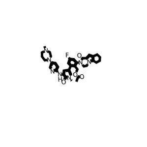 CC(=O)OCc1c(-c2cc(Nc3ccc(N4CCCN(C)CC4)cn3)c(=O)n(C)c2)cc(F)cc1N1CCn2c(cc3c2CCCC3)C1=O